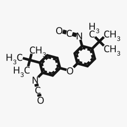 CC(C)(C)c1ccc(Oc2ccc(C(C)(C)C)c(N=C=O)c2)cc1N=C=O